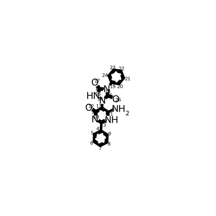 Nc1[nH]c(-c2ccccc2)nc(=O)c1-n1[nH]c(=O)n(-c2ccccc2)c1=O